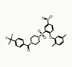 Cc1ccc(C)c(Oc2ccc([N+](=O)[O-])cc2S(=O)(=O)N2CCN(C(=O)c3ccc(C(F)(F)F)cc3)CC2)c1